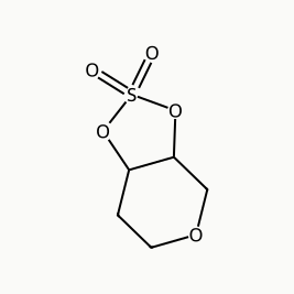 O=S1(=O)OC2CCOCC2O1